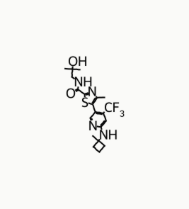 Cc1nc(C(=O)NCC(C)(C)O)sc1-c1cnc(NC2(C)CCC2)cc1C(F)(F)F